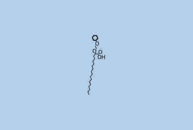 CCCCCCCCCCCCCCCCC(OCCOc1ccccc1)C(=O)O